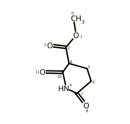 COC(=O)C1CCC(=O)NC1=O